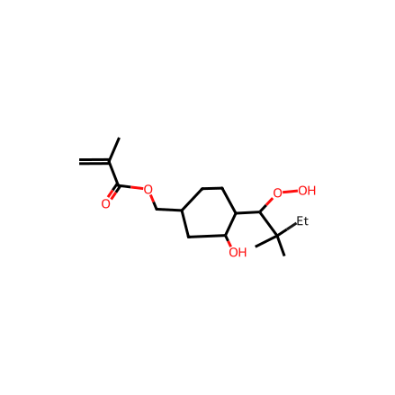 C=C(C)C(=O)OCC1CCC(C(OO)C(C)(C)CC)C(O)C1